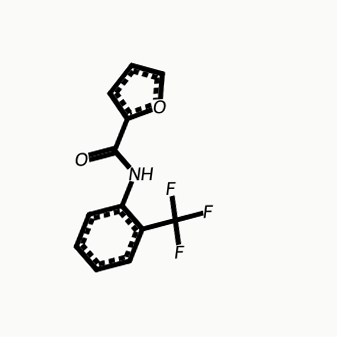 O=C(Nc1ccccc1C(F)(F)F)c1ccco1